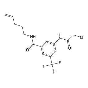 C=CCCCNC(=O)c1cc(NC(=O)CCl)cc(C(F)(F)F)c1